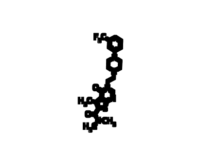 Cc1c(C(=O)N(C)C)sc2ncn(CCN3CCN(c4cccc(C(F)(F)F)c4)CC3)c(=O)c12